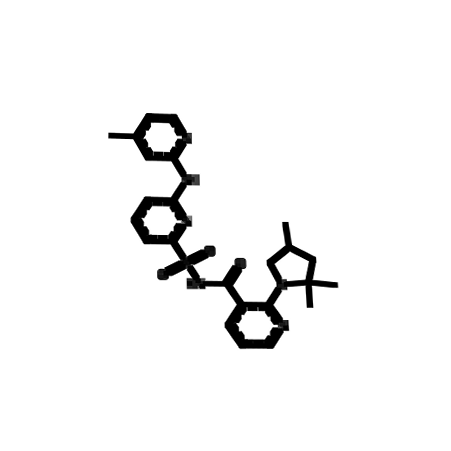 Cc1ccnc(Nc2cccc(S(=O)(=O)NC(=O)c3cccnc3N3CC(C)CC3(C)C)n2)c1